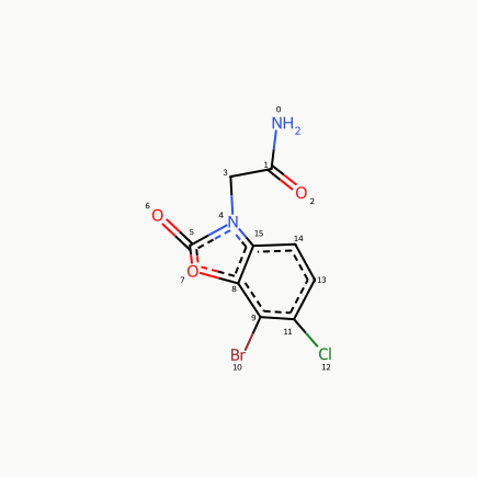 NC(=O)Cn1c(=O)oc2c(Br)c(Cl)ccc21